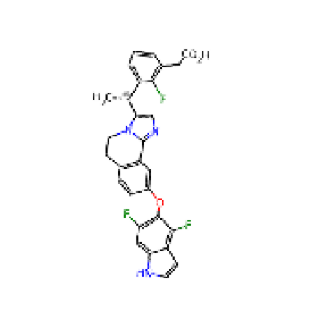 C[C@H](c1cccc(CC(=O)O)c1F)c1cnc2n1CCc1ccc(Oc3c(F)cc4[nH]ccc4c3F)cc1-2